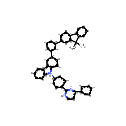 CC1(C)c2ccccc2-c2ccc(-c3cccc(-c4ccc5c(c4)c4ccccc4n5-c4ccc(-c5nccc(-c6ccccc6)n5)cc4)c3)cc21